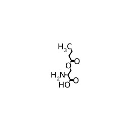 CCCC(=O)OC[C@H](N)C(=O)O